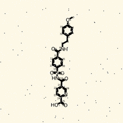 COc1ccc(CCNC(=O)c2ccc(S(=O)(=O)NC(=O)c3ccc(C(=O)O)nc3)cc2)cc1